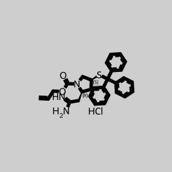 C=CCOC(=O)N1C[C@@H](SC(c2ccccc2)(c2ccccc2)c2ccccc2)C[C@H]1CC(=N)N.Cl